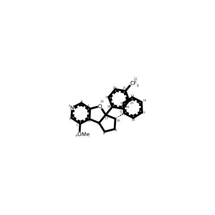 COc1cncc2c1C1CC[C@@H](c3ccccc3)C1(c1ccc(C(F)(F)F)cc1)O2